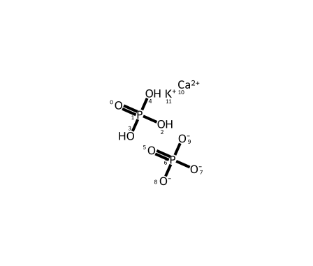 O=P(O)(O)O.O=P([O-])([O-])[O-].[Ca+2].[K+]